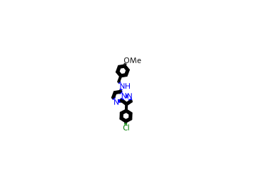 COc1ccc(CNc2ccnc3c(-c4ccc(Cl)cc4)cnn23)cc1